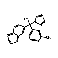 CC(C)C(c1cccc(C(F)(F)F)c1)(c1ccc2ncccc2c1)n1cncn1